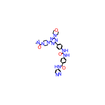 CN(C)C(=O)N1CCN(c2nc(-c3ccc(NC(=O)Nc4ccc(C(=O)Nc5ccnnc5)cc4)cc3)nc(N3CCOCC3)n2)CC1